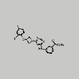 CNC(=O)c1cccc(Nc2ncnc(N3CC(Oc4ccc(C)cc4F)C3)n2)c1